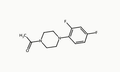 CC(=O)N1CCN(c2ccc(F)cc2F)CC1